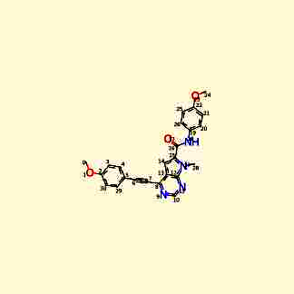 COc1ccc(C#Cc2ncnc3c2cc(C(=O)Nc2ccc(OC)cc2)n3C)cc1